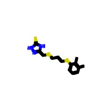 Cc1cccc(SCCCSCc2n[nH]c(=S)[nH]2)c1C